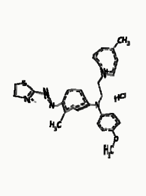 COc1ccc(N(CC[n+]2ccc(C)cc2)c2ccc(N=NC3=[N+]C=CS3)c(C)c2)cc1.Cl